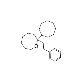 c1ccc(CCC2(C3CCCCCCC3)CCCCCCO2)cc1